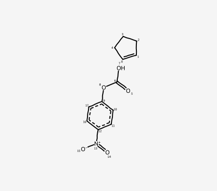 C1=CCCC1.O=C(O)Oc1ccc([N+](=O)[O-])cc1